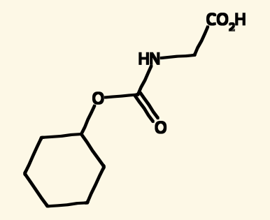 O=C(O)CNC(=O)OC1CCCCC1